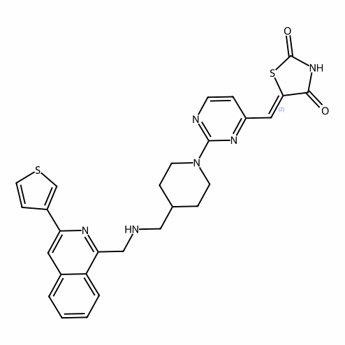 O=C1NC(=O)/C(=C/c2ccnc(N3CCC(CNCc4nc(-c5ccsc5)cc5ccccc45)CC3)n2)S1